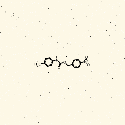 [CH2]c1ccc(NC(=O)OCc2ccc([N+](=O)[O-])cc2)cc1